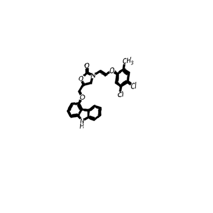 Cc1cc(Cl)c(Cl)cc1OCCN1CC(COc2cccc3[nH]c4ccccc4c23)OC1=O